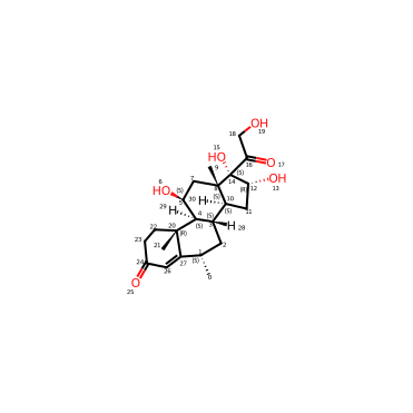 C[C@H]1C[C@@H]2[C@H]([C@@H](O)C[C@@]3(C)[C@H]2C[C@@H](O)[C@]3(O)C(=O)CO)[C@@]2(C)CCC(=O)C=C12